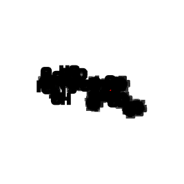 CN(Cc1ccc(OCC2=C(C(=O)O)N3C(=O)[C@@H](NC(=O)[C@H]4/C(=C/CO)O[C@@H]5CC(=O)N54)C3SC2)cc1)S(=O)(=O)c1ccccc1-c1c2ccc(N3CCc4ccccc43)cc2[o+]c2cc(N3CCc4ccccc43)ccc12